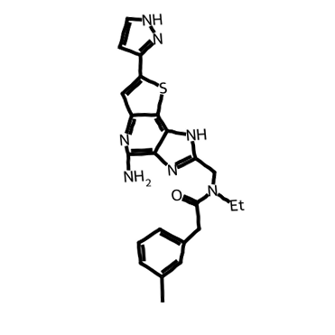 CCN(Cc1nc2c(N)nc3cc(-c4cc[nH]n4)sc3c2[nH]1)C(=O)Cc1cccc(C)c1